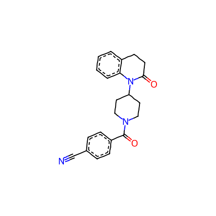 N#Cc1ccc(C(=O)N2CCC(N3C(=O)CCc4ccccc43)CC2)cc1